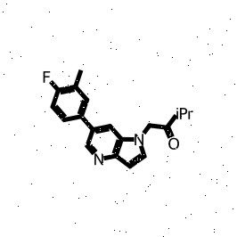 Cc1cc(-c2cnc3ccn(CC(=O)C(C)C)c3c2)ccc1F